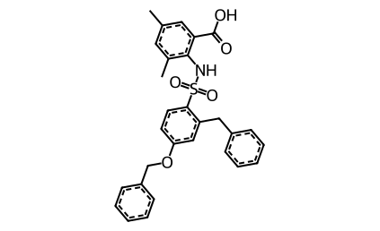 Cc1cc(C)c(NS(=O)(=O)c2ccc(OCc3ccccc3)cc2Cc2ccccc2)c(C(=O)O)c1